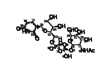 CC(=O)NC1[C@@H](O[P@@](=O)(O)O[P@@](=O)(O)OC[C@@H](OCn2ccc(=O)[nH]c2=O)[C@H](O)CO)OC(C=O)[C@@H](O)[C@@H]1O